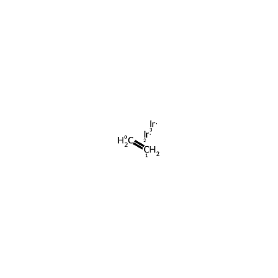 C=C.[Ir].[Ir]